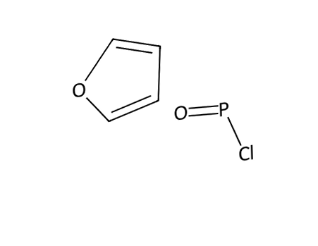 O=PCl.c1ccoc1